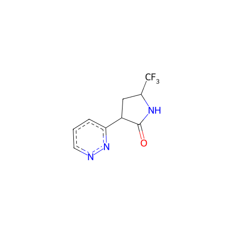 O=C1NC(C(F)(F)F)CC1c1cccnn1